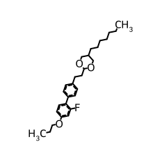 CCCCCCCC1COC(CCc2ccc(-c3ccc(OCCC)cc3F)cc2)OC1